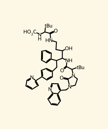 CC(C)(C)C(NC(=O)O)C(=O)NCCC(O)C(NC(=O)C(N1CCN(Cc2ccnc3ccccc23)C1=O)C(C)(C)C)C(Cc1ccc(-c2ccccn2)cc1)c1ccccc1